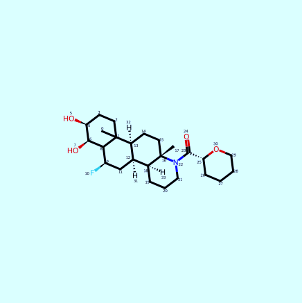 CC12CC[C@H](O)[C@H](O)C1[C@H](F)C[C@H]1[C@@H]2CC[C@@]2(C)[C@H]1CCCN2C(=O)[C@H]1CCCCO1